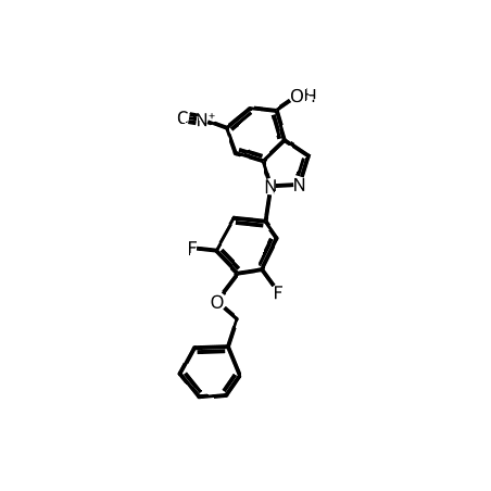 [C-]#[N+]c1cc(O)c2cnn(-c3cc(F)c(OCc4ccccc4)c(F)c3)c2c1